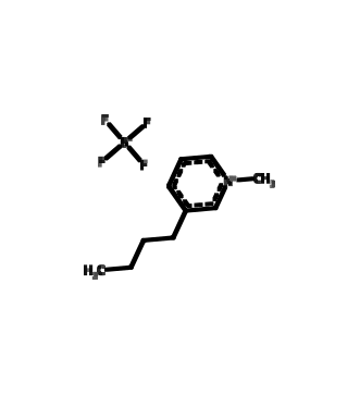 CCCCc1ccc[n+](C)c1.F[B-](F)(F)F